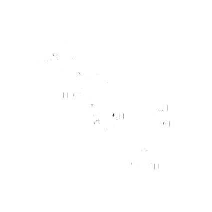 CC(=O)Oc1ccc(C(=O)Nc2cc3ccc(OCC4CCCN(C)C4)c(C)c3oc2=O)cc1CC=C(C)C